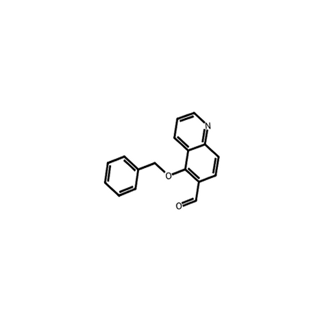 O=Cc1ccc2ncccc2c1OCc1ccccc1